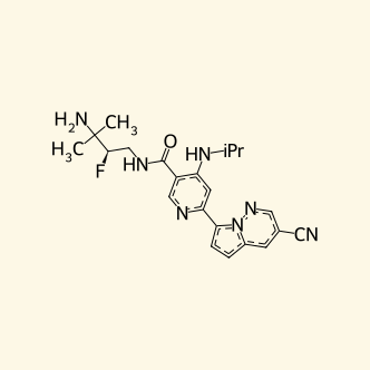 CC(C)Nc1cc(-c2ccc3cc(C#N)cnn23)ncc1C(=O)NC[C@@H](F)C(C)(C)N